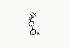 CC(C)(C)[Si](C)(C)OC1CCN(c2cncc(Br)c2)CC1